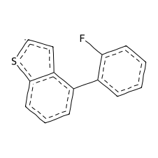 Fc1ccccc1-c1cccc2s[c]cc12